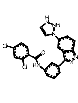 O=C(Nc1cccc(-c2n[nH]c3ccc(N4C=CNN4)cc23)c1)c1ccc(Cl)cc1Cl